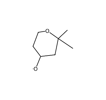 CC1(C)CC([O])CCO1